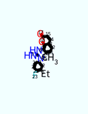 CCc1cc(N(C)C(=N)Nc2cccc3ccc(=O)oc23)ccc1F